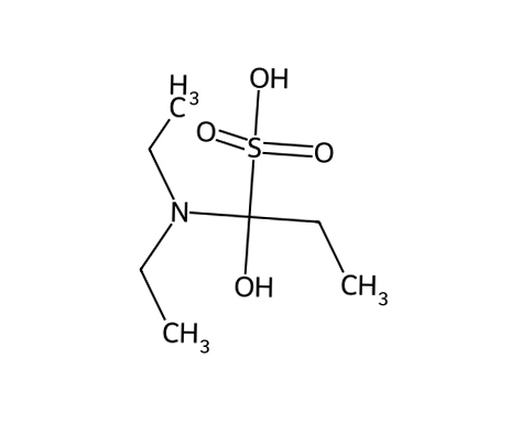 CCN(CC)C(O)(CC)S(=O)(=O)O